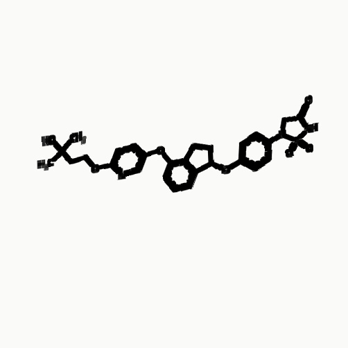 CC(C)(O)CCOc1ccc(Oc2cccc3c2CC[C@H]3Oc2ccc(N3CC(=O)NS3(=O)=O)cc2)cn1